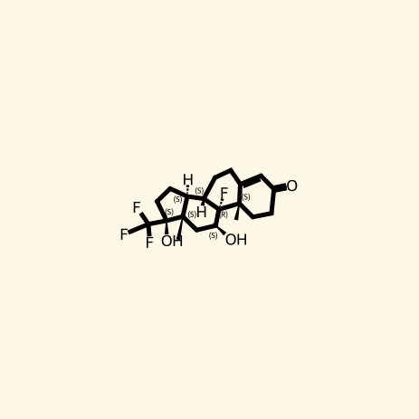 C[C@]12CCC(=O)C=C1CC[C@H]1[C@@H]3CC[C@@](O)(C(F)(F)F)[C@@]3(C)C[C@H](O)[C@@]12F